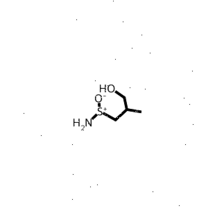 CC(CO)C[S+](N)[O-]